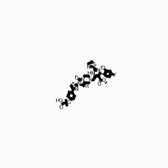 COC(=O)C1=C(CN2CCN3C(=O)N(c4nc(-c5ccc(OC(C)(C)C(=O)O)cc5)cs4)C[C@@H]3C2)NC(c2nccs2)=N[C@H]1c1ccc(F)cc1Cl